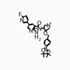 CN1C[C@H](NC(=O)c2cc(-c3ccc(F)nc3)cnc2N)[C@@H](OCc2ccc(B3OC(C)(C)C(C)(C)O3)cc2)C1